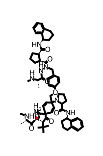 CN[C@@H](C)C(=O)N[C@H](C(=O)C1(C(N)=O)C=CC(COc2ccc(CN(NC(=O)[C@H](C)NC)C(=O)[C@H]3CCC[C@H]3C(=O)N[C@@H]3CCCc4ccccc43)cc2)(N2CCCC2C(=O)N[C@@H]2CCCc3ccccc32)C=C1)C(C)(C)C